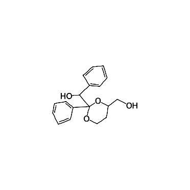 OCC1CCOC(c2ccccc2)(C(O)c2ccccc2)O1